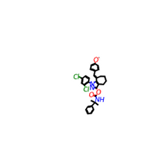 COc1ccc(/C=C2\CCCCc3c(OC(=O)NC(C)(C)c4ccccc4)nn(-c4ccc(Cl)cc4Cl)c32)cc1